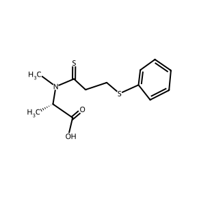 C[C@@H](C(=O)O)N(C)C(=S)CCSc1ccccc1